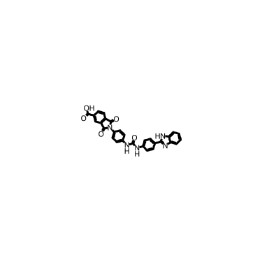 O=C(Nc1ccc(-c2nc3ccccc3[nH]2)cc1)Nc1ccc(N2C(=O)c3ccc(C(=O)O)cc3C2=O)cc1